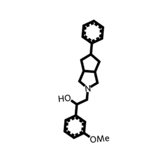 COc1cccc(C(O)CN2CC3CC(c4ccccc4)CC3C2)c1